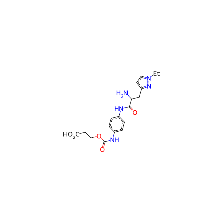 CCn1ccc(CC(N)C(=O)Nc2ccc(NC(=O)OCCC(=O)O)cc2)n1